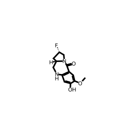 COc1cc2c(cc1O)NC[C@@H]1C[C@H](F)CN1C2=O